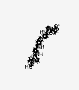 COC(=O)N[C@@H](C(=O)N1CCCC1c1nc2ccc(N3CCc4cc5cc(-c6ccc7nc(C8CCCN8C(=O)[C@@H](NC(=O)CO)C(C)C)[nH]c7c6)[nH]c5cc4C3)cc2[nH]1)C(C)C